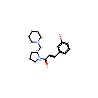 O=C(/C=C/c1cccc(Br)c1)N1CCC[C@H]1CN1CCCCC1